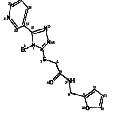 CCn1c(SCC(=O)NCc2ccco2)nnc1-c1cccnc1